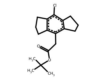 CC(C)(C)OC(=O)Cc1c2c(c(Cl)c3c1CCC3)CCC2